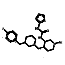 CC(=O)N1CC[C@@H](CN2CCCC(Cc3ccc(F)cc3)C2)[C@@H](NC(=O)Nc2nccs2)C1